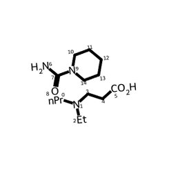 CCCN(CC)CCC(=O)O.NC(=O)N1CCCCC1